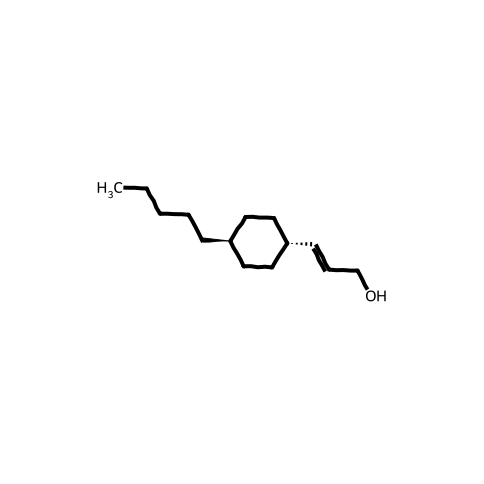 CCCCC[C@H]1CC[C@H](C=CCO)CC1